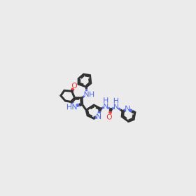 O=C(Nc1ccccn1)Nc1cc(-c2[nH]c3c(c2Nc2ccccc2)C(=O)CCC3)ccn1